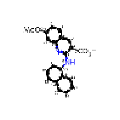 COc1ccc2cc(C(=O)O)c(Nc3cccc4ccccc34)nc2c1